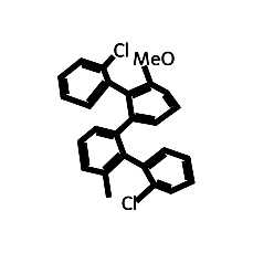 COc1cccc(-c2cccc(C)c2-c2ccccc2Cl)c1-c1ccccc1Cl